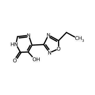 CCc1nc(-c2nc[nH]c(=O)c2O)no1